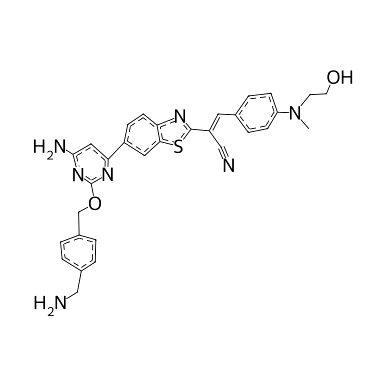 CN(CCO)c1ccc(/C=C(\C#N)c2nc3ccc(-c4cc(N)nc(OCc5ccc(CN)cc5)n4)cc3s2)cc1